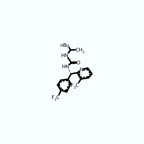 CCCCC(C)NC(=O)N[C@@H](c1ccc(C(F)(F)F)cc1)c1ncccc1C(F)(F)F